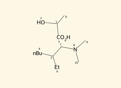 CC(O)C(=O)O.CCCCC(CC)CN(C)C